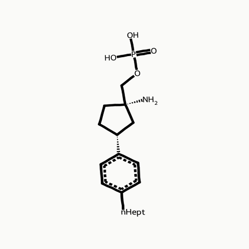 CCCCCCCc1ccc([C@@H]2CC[C@@](N)(COP(=O)(O)O)C2)cc1